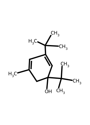 CC1=CC(C(C)(C)C)=CC(O)(C(C)(C)C)C1